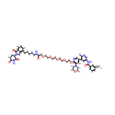 Cc1ncc(NC(=O)c2cccc(C(F)(F)F)c2)cc1-c1cnc(OCCOCCOCCOCCOCC(=O)NCCCCCc2cccc3c2CN(C2CCC(=O)NC2=O)C3=O)c(N2CCOCC2)c1